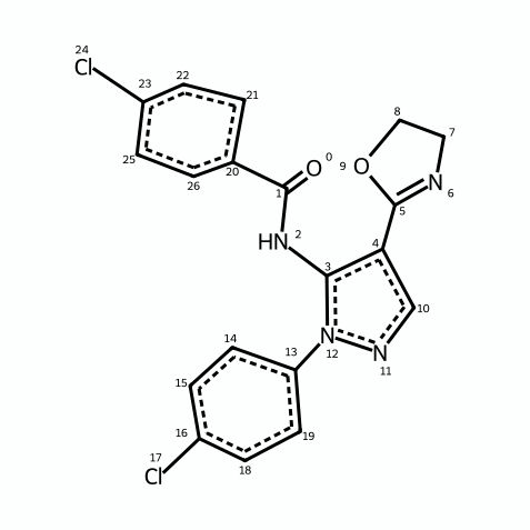 O=C(Nc1c(C2=NCCO2)cnn1-c1ccc(Cl)cc1)c1ccc(Cl)cc1